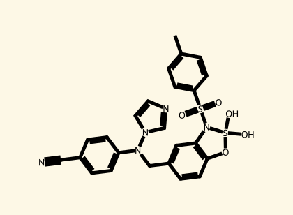 Cc1ccc(S(=O)(=O)N2c3cc(CN(c4ccc(C#N)cc4)n4ccnc4)ccc3OS2(O)O)cc1